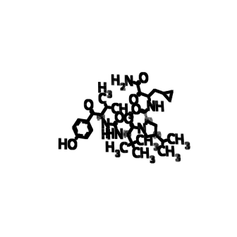 CC(C)[C@@H]1C[C@@H](C(=O)NC(CC2CC2)C(=O)C(N)=O)N(C(=O)[C@@H](NC(=O)N[C@H](C(=O)c2ccc(O)cc2)C(C)C)C(C)(C)C)C1